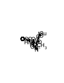 CC1=C(C(=O)OCOC(=O)C(C)(C)C)N2C(=O)C(NC(=O)COc3ccccc3)[C@H]2[S+]([O-])C1=[N+]=[N-]